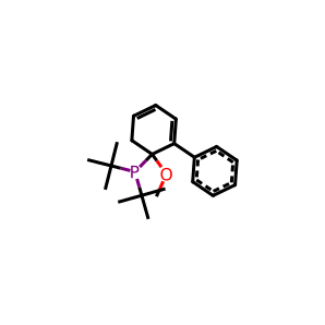 COC1(P(C(C)(C)C)C(C)(C)C)CC=CC=C1c1ccccc1